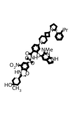 CNc1nc2[nH]ccc2cc1Oc1cc(N2CCC3(CC2)CC(N2CCC[C@@H]2c2ccccc2C(C)C)C3)ccc1C(=O)NS(=O)(=O)c1cc2c(c([N+](=O)[O-])c1)N[C@@H]([C@H]1CC[C@](C)(O)CC1)CO2